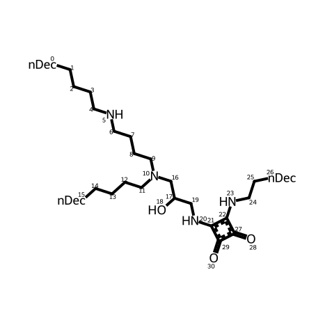 CCCCCCCCCCCCCCNCCCCN(CCCCCCCCCCCCCC)CC(O)CNc1c(NCCCCCCCCCCCC)c(=O)c1=O